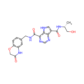 C[C@H](CO)NC(=O)c1c[nH]c2c(C(=O)NCc3ccc4c(c3)NC(=O)CO4)ncnc12